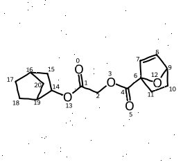 O=C(COC(=O)C12C=CC(CC1)O2)OC1CC2CCC1C2